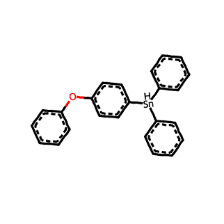 c1ccc(Oc2cc[c]([SnH]([c]3ccccc3)[c]3ccccc3)cc2)cc1